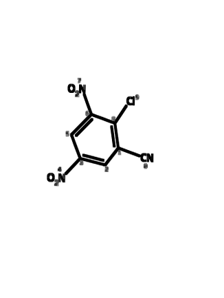 N#Cc1cc([N+](=O)[O-])cc([N+](=O)[O-])c1Cl